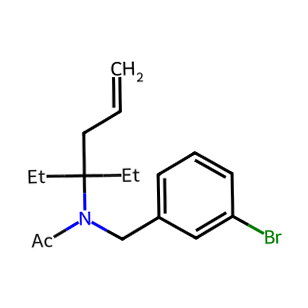 C=CCC(CC)(CC)N(Cc1cccc(Br)c1)C(C)=O